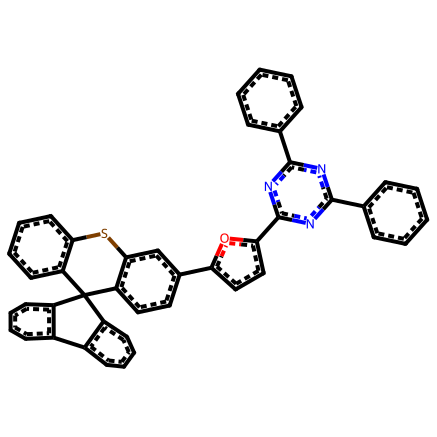 c1ccc(-c2nc(-c3ccccc3)nc(-c3ccc(-c4ccc5c(c4)Sc4ccccc4C54c5ccccc5-c5ccccc54)o3)n2)cc1